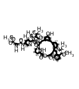 CCn1c(-c2cnccc2COC)c2c3cc(ccc31)-c1cc(O)cc(c1)C[C@H](NC(=O)C(C(C)C)N(C)C(=O)c1ccc(NC(=O)[C@@H]3N[C@@H]3C(=O)OC)cn1)C(=O)N1CCC[C@H](N1)C(=O)OCC(C)(C)C2